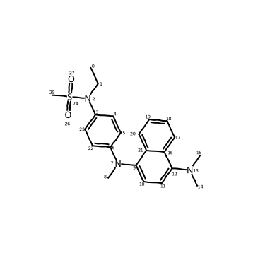 CCN(c1ccc(N(C)c2ccc(N(C)C)c3ccccc23)cc1)S(C)(=O)=O